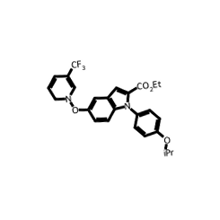 CCOC(=O)c1cc2cc(ON3C=C(C(F)(F)F)C=CC3)ccc2n1-c1ccc(OC(C)C)cc1